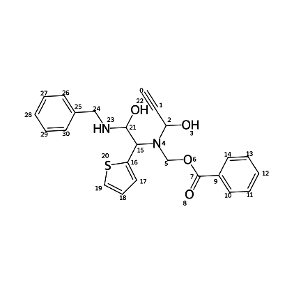 C#CC(O)N(COC(=O)c1ccccc1)C(c1cccs1)C(O)NCc1ccccc1